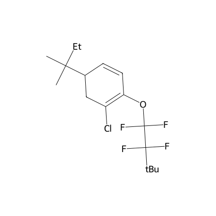 CCC(C)(C)C1C=CC(OC(F)(F)C(F)(F)C(C)(C)C)=C(Cl)C1